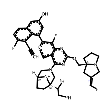 [2H]CC([2H])[C@@]12CC[C@@H](CN(c3nc(OC[C@@]45CCCN4C/C(=C\F)C5)nc4c(F)c(-c5cc(O)cc6ccc(F)c(C#C)c56)ncc34)C1)N2